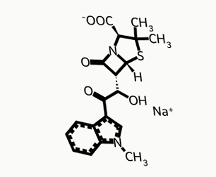 Cn1cc(C(=O)C(O)[C@@H]2C(=O)N3[C@@H]2SC(C)(C)[C@@H]3C(=O)[O-])c2ccccc21.[Na+]